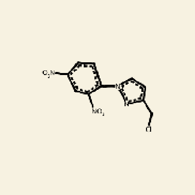 O=[N+]([O-])c1ccc(-n2ccc(CCl)n2)c([N+](=O)[O-])c1